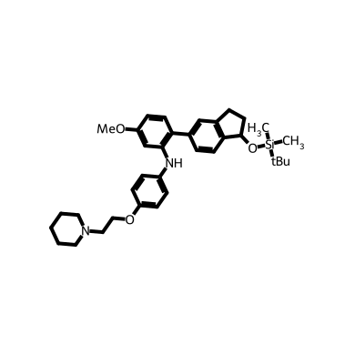 COc1ccc(-c2ccc3c(c2)CCC3O[Si](C)(C)C(C)(C)C)c(Nc2ccc(OCCN3CCCCC3)cc2)c1